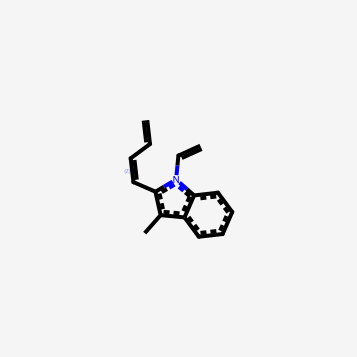 C=C/C=C\c1c(C)c2ccccc2n1C=C